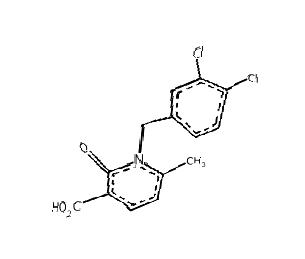 Cc1ccc(C(=O)O)c(=O)n1Cc1ccc(Cl)c(Cl)c1